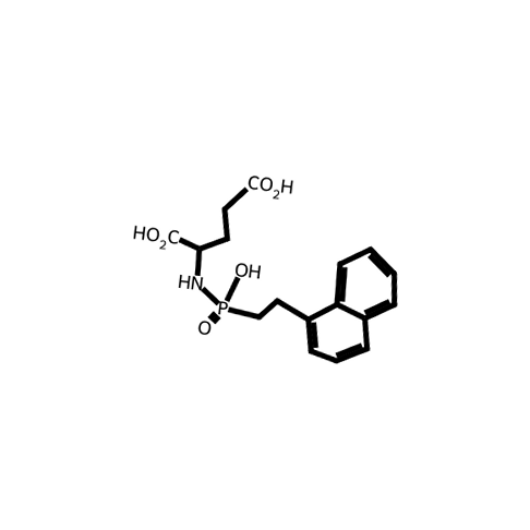 O=C(O)CCC(NP(=O)(O)CCc1cccc2ccccc12)C(=O)O